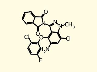 Cn1nc(N2C(=O)c3ccccc3C2=O)c2c(Oc3cc(F)ccc3Cl)c(N)cc(Cl)c21